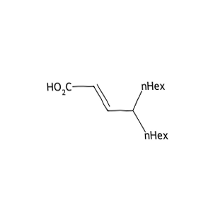 CCCCCCC(/C=C/C(=O)O)CCCCCC